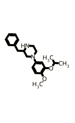 COc1ccc(N2CCNC(Cc3ccccc3)C2)cc1OC(C)C